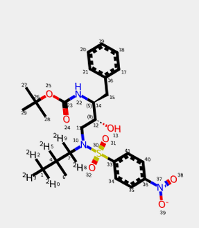 [2H]C([2H])([2H])C([2H])(C)C([2H])([2H])N(C[C@@H](O)[C@H](Cc1ccccc1)NC(=O)OC(C)(C)C)S(=O)(=O)c1ccc([N+](=O)[O-])cc1